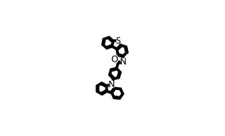 C1=Cc2c(n(-c3ccc(-c4nc5ccc6sc7ccccc7c6c5o4)cc3)c3ccccc23)CC1